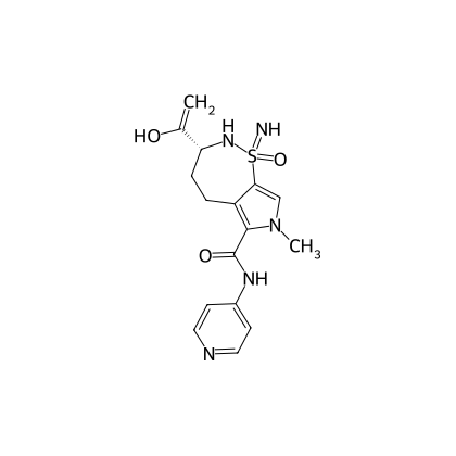 C=C(O)[C@H]1CCc2c(cn(C)c2C(=O)Nc2ccncc2)S(=N)(=O)N1